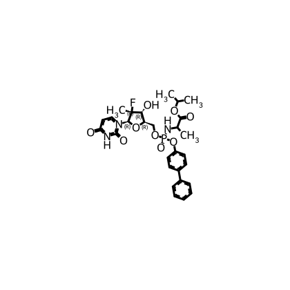 CC(C)OC(=O)C(C)NP(=O)(OC[C@H]1O[C@@H](n2ccc(=O)[nH]c2=O)[C@](C)(F)[C@@H]1O)Oc1ccc(-c2ccccc2)cc1